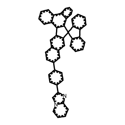 c1ccc2c(c1)-c1ccccc1C21c2cc3cc(-c4ccc(-c5cn6ccccc6n5)cc4)ccc3cc2-c2c1c1ccccc1c1ccccc21